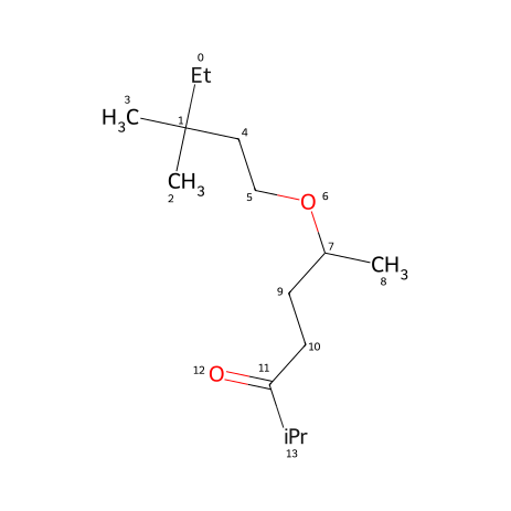 CCC(C)(C)CCOC(C)CCC(=O)C(C)C